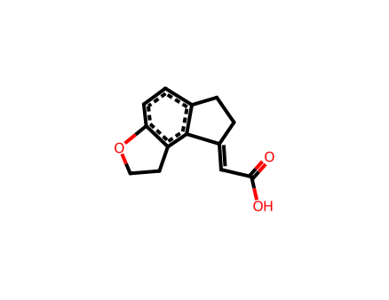 O=C(O)/C=C1\CCc2ccc3c(c21)CCO3